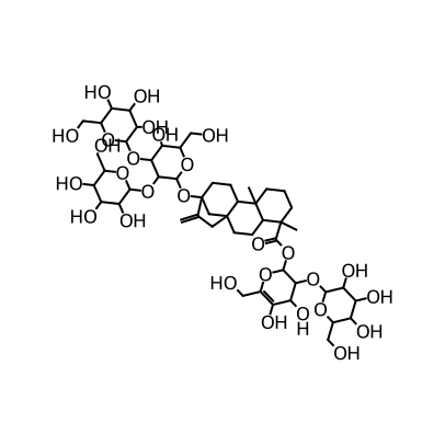 C=C1CC23CCC4C(C)(C(=O)OC5OC(CO)=C(O)C(O)C5OC5OC(CO)C(O)C(O)C5O)CCCC4(C)C2CCC1(OC1OC(CO)C(O)C(OC2OC(CO)C(O)C(O)C2O)C1OC1OC(CO)C(O)C(O)C1O)C3